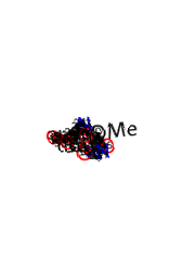 COc1cc(C(=O)N(C)C2CCN(C(=O)OC(C)(C)C)C2)ccc1-c1cc2nccc(-c3ccc(OC4CCOCC4)c(C#N)c3)c2o1